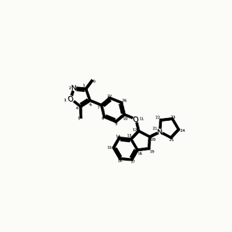 Cc1noc(C)c1-c1ccc(OC2c3ccccc3CC2N2CCCC2)cc1